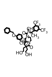 Cc1cc(OCc2ccccc2)ccc1[C@H]1[C@@H]2CC(CCO)(CCO)C(=O)N2CCN1C(=O)N(C)[C@H](C)c1cc(C(F)(F)F)cc(C(F)(F)F)c1